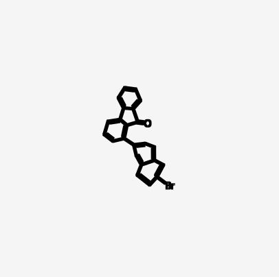 O=C1c2ccccc2-c2cccc(-c3ccc4cc(Br)ccc4c3)c21